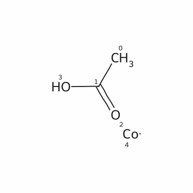 CC(=O)O.[Co]